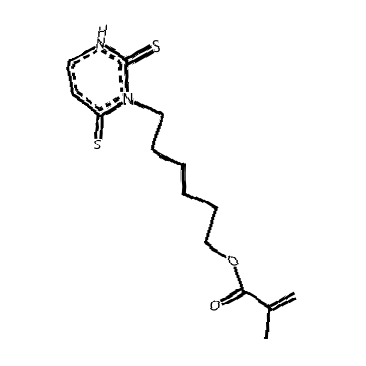 C=C(C)C(=O)OCCCCCCn1c(=S)cc[nH]c1=S